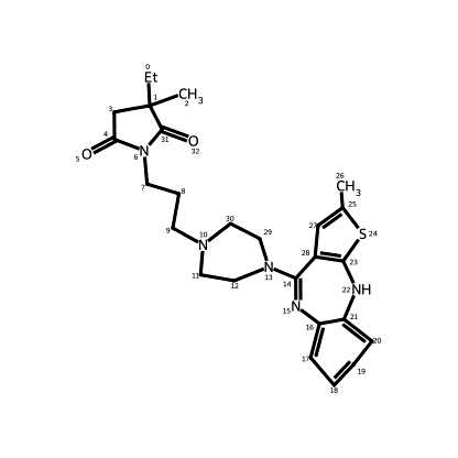 CCC1(C)CC(=O)N(CCCN2CCN(C3=Nc4ccccc4Nc4sc(C)cc43)CC2)C1=O